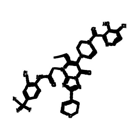 CCc1c(N2CCN(C(=O)c3nccc(Cl)c3O)CC2)c(=O)n2nc(C3=CCOCC3)nc2n1CC(=O)Nc1ccc(C(F)(F)F)cc1Cl